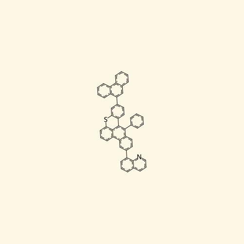 c1ccc(-c2c3c4c(cccc4c4cc(-c5cccc6cccnc56)ccc24)Sc2cc(-c4cc5ccccc5c5ccccc45)ccc2-3)cc1